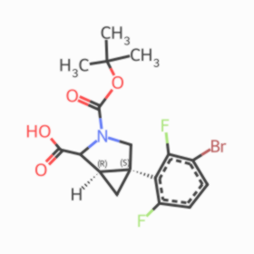 CC(C)(C)OC(=O)N1C[C@@]2(c3c(F)ccc(Br)c3F)C[C@H]2C1C(=O)O